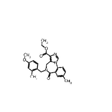 CCOC(=O)c1ncn2c1CN(Cc1ccc(OC)cc1C)C(=O)c1cc(C)ccc1-2